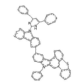 C1=C(c2ccccc2)NC(n2c3ccccc3c3cc(-c4ccc5c(c4)c4c6cccc7c6c(cc4n5-c4ccccc4)-c4ccccc4S7)ccc32)N=C1c1ccccc1